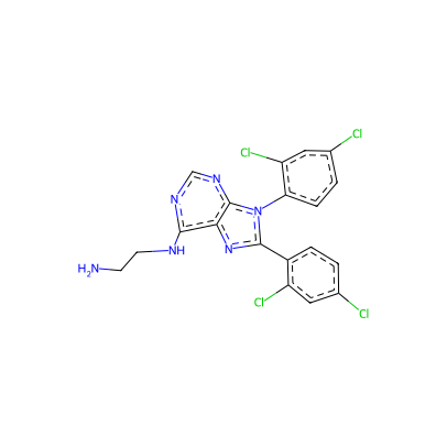 NCCNc1ncnc2c1nc(-c1ccc(Cl)cc1Cl)n2-c1ccc(Cl)cc1Cl